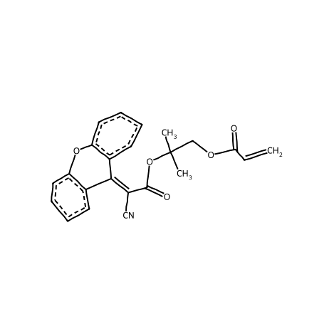 C=CC(=O)OCC(C)(C)OC(=O)C(C#N)=C1c2ccccc2Oc2ccccc21